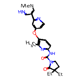 CCC1(CC)CCN(C(=O)Nc2ccc(Oc3ccnc(/C(C=N)=C/NC)c3)c(C)n2)C1=O